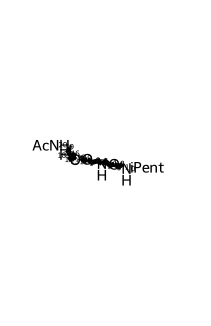 CCCC(C)NCCOCCNCCOCCOC(C)(C)C(F)CNC(C)=O